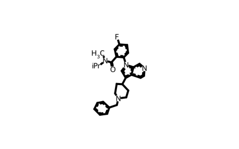 CC(C)N(C)C(=O)c1cc(F)ccc1-n1cc(C2CCN(Cc3ccccc3)CC2)c2ccncc21